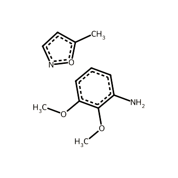 COc1cccc(N)c1OC.Cc1ccno1